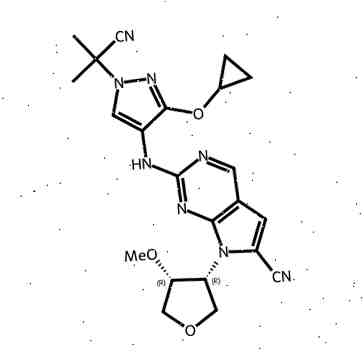 CO[C@H]1COC[C@H]1n1c(C#N)cc2cnc(Nc3cn(C(C)(C)C#N)nc3OC3CC3)nc21